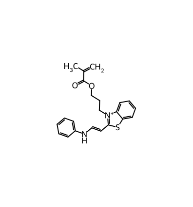 C=C(C)C(=O)OCCC[n+]1c(/C=C/Nc2ccccc2)sc2ccccc21